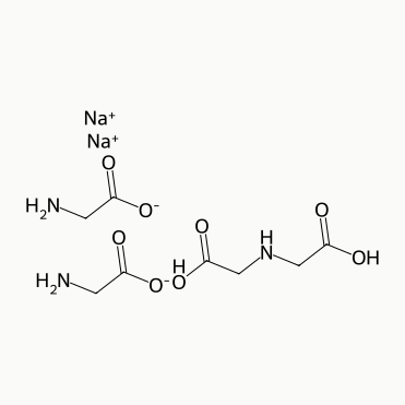 NCC(=O)[O-].NCC(=O)[O-].O=C(O)CNCC(=O)O.[Na+].[Na+]